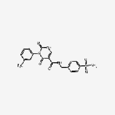 NS(=O)(=O)c1ccc(CNC(=O)c2c[nH]c(=O)n(-c3cccc(C(F)(F)F)c3)c2=O)cc1